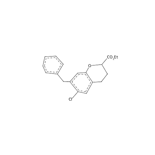 CCOC(=O)C1CCc2cc(Cl)c(Cc3ccccc3)cc2O1